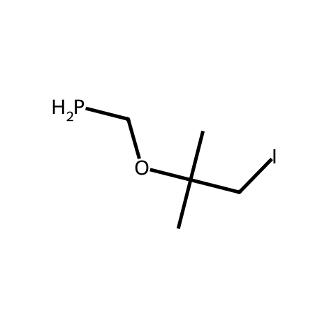 CC(C)(CI)OCP